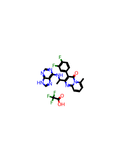 Cc1cccc2nc(C(C)Nc3ncnc4[nH]cnc34)c(-c3ccc(F)c(F)c3)c(=O)n12.O=C(O)C(F)(F)F